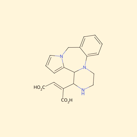 O=C(O)C=C(C(=O)O)C1NCCN2c3ccccc3Cn3cccc3C12